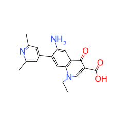 CCn1cc(C(=O)O)c(=O)c2cc(N)c(-c3cc(C)nc(C)c3)cc21